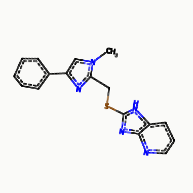 Cn1cc(-c2ccccc2)nc1CSc1nc2ncccc2[nH]1